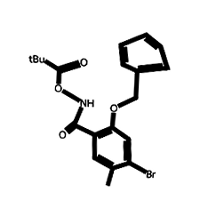 Cc1cc(C(=O)NOC(=O)C(C)(C)C)c(OCc2ccccc2)cc1Br